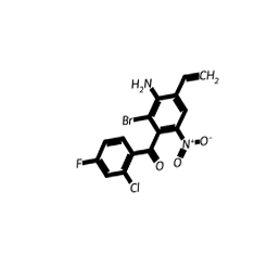 C=Cc1cc([N+](=O)[O-])c(C(=O)c2ccc(F)cc2Cl)c(Br)c1N